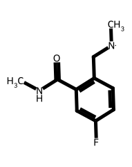 C[N]Cc1ccc(F)cc1C(=O)NC